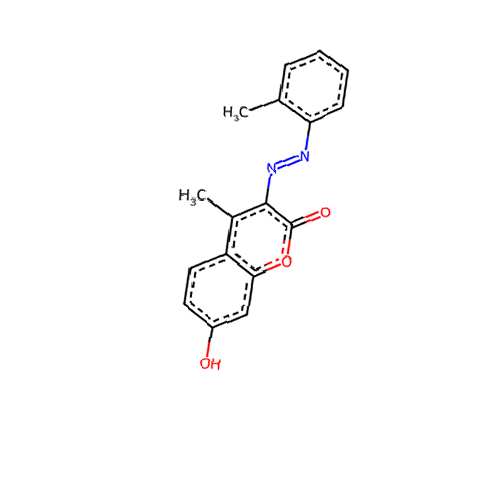 Cc1ccccc1N=Nc1c(C)c2ccc(O)cc2oc1=O